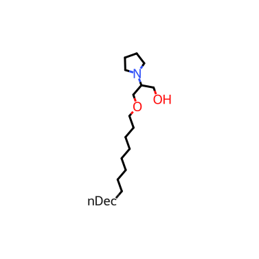 CCCCCCCCCCCCCCCCCCOCC(CO)N1CCCC1